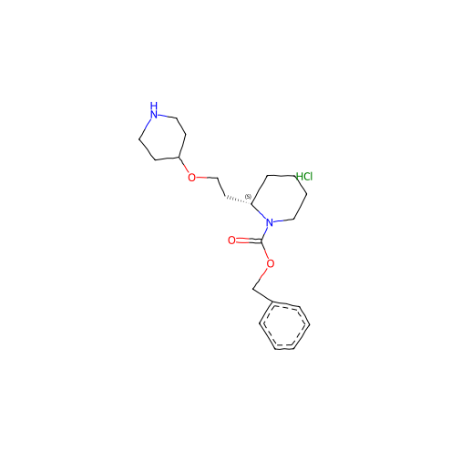 Cl.O=C(OCc1ccccc1)N1CCCC[C@H]1CCOC1CCNCC1